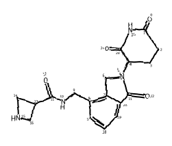 O=C1CCC(N2Cc3c(CNC(=O)C4CNC4)cccc3C2=O)C(=O)N1